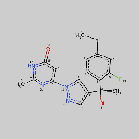 CCc1ccc([C@](C)(O)c2cnn(-c3cc(=O)[nH]c(C)n3)c2)c(F)c1